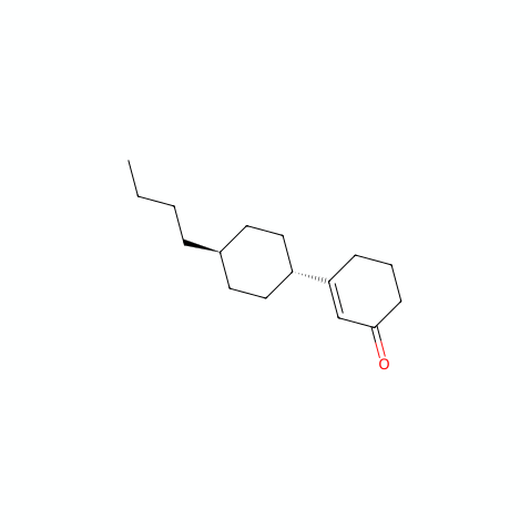 CCCC[C@H]1CC[C@H](C2=CC(=O)CCC2)CC1